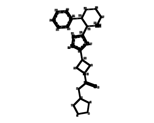 O=C(CC1CCCC1)N1CC(c2nnc(C3NCCCC3c3ccccc3)o2)C1